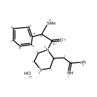 CCCC(=N)CC1CSCCN1C(=O)C(SC)c1ccccc1.Cl